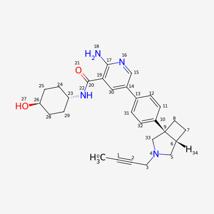 CC#CCN1C[C@H]2CC[C@@]2(c2ccc(-c3cnc(N)c(C(=O)N[C@H]4CC[C@H](O)CC4)c3)cc2)C1